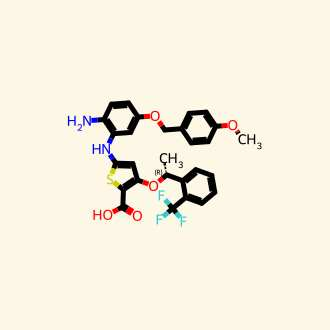 COc1ccc(COc2ccc(N)c(Nc3cc(O[C@H](C)c4ccccc4C(F)(F)F)c(C(=O)O)s3)c2)cc1